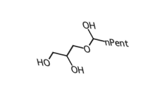 CCCCCC(O)OCC(O)CO